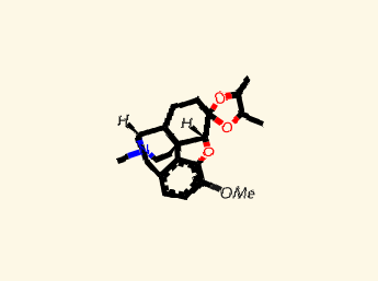 COc1ccc2c3c1O[C@H]1C4(CCC5[C@@H](C2)N(C)CC[C@@]351)OC(C)C(C)O4